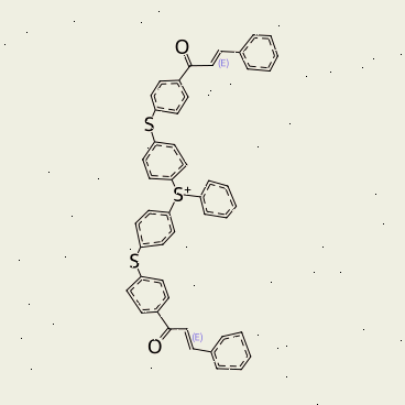 O=C(/C=C/c1ccccc1)c1ccc(Sc2ccc([S+](c3ccccc3)c3ccc(Sc4ccc(C(=O)/C=C/c5ccccc5)cc4)cc3)cc2)cc1